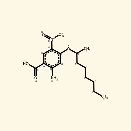 CCCCCCC(C)Oc1cc(N)c(C(=O)O)cc1[N+](=O)[O-]